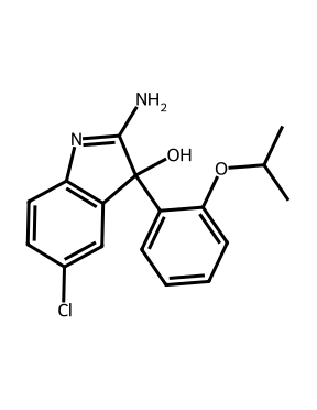 CC(C)Oc1ccccc1C1(O)C(N)=Nc2ccc(Cl)cc21